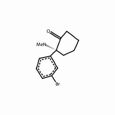 CN[C@@]1(c2cccc(Br)c2)CCCCC1=O